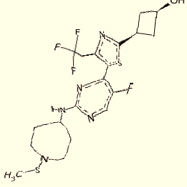 CSN1CCC(Nc2ncc(F)c(-c3sc([C@H]4C[C@@H](O)C4)nc3C(F)(F)F)n2)CC1